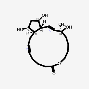 C[C@@]1(O)/C=C/[C@@H]2[C@@H](C/C=C\CCCC(=O)OCCCC1)[C@@H](O)C[C@H]2O